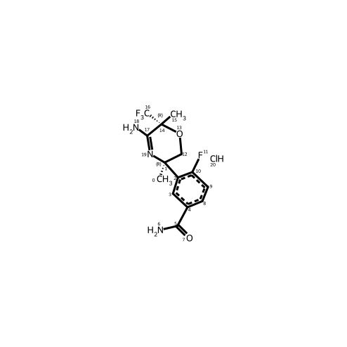 C[C@@]1(c2cc(C(N)=O)ccc2F)CO[C@@](C)(C(F)(F)F)C(N)=N1.Cl